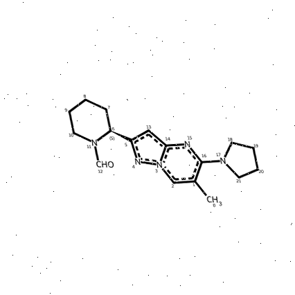 Cc1cn2nc([C@@H]3CCCCN3C=O)cc2nc1N1CCCC1